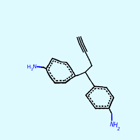 C#CCC(c1ccc(N)cc1)c1ccc(N)cc1